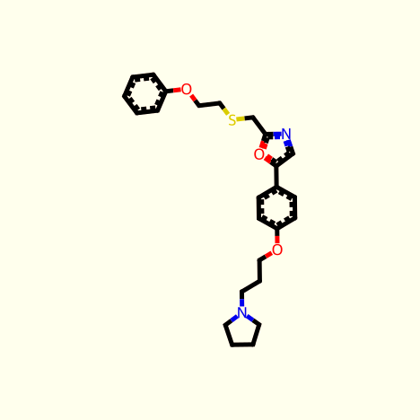 c1ccc(OCCSCc2ncc(-c3ccc(OCCCN4CCCC4)cc3)o2)cc1